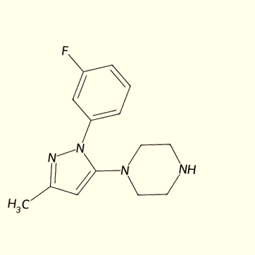 Cc1cc(N2CCNCC2)n(-c2cccc(F)c2)n1